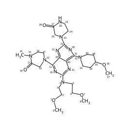 COCCN(CCOC)c1nc(N2CCN(C)C(=O)C2)c2nc(N3CCNC(=O)C3)nc(N3CCC(OC)CC3)c2n1